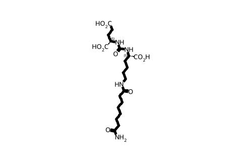 NC(=O)CCCCCCC(=O)NCCCC[C@H](NC(=O)N[C@@H](CCC(=O)O)C(=O)O)C(=O)O